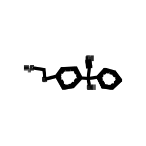 C#CC(O)(c1ccccc1)c1ccc(OCC)cc1